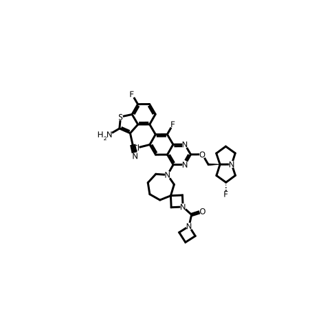 N#Cc1c(N)sc2c(F)ccc(-c3c(Cl)cc4c(N5CCCCC6(CN(C(=O)N7CCC7)C6)C5)nc(OC[C@@]56CCCN5C[C@H](F)C6)nc4c3F)c12